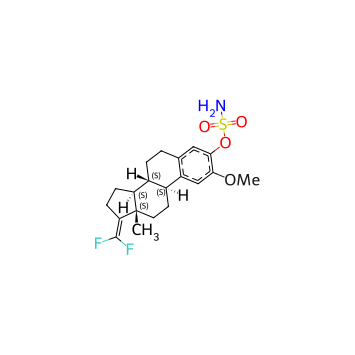 COc1cc2c(cc1OS(N)(=O)=O)CC[C@@H]1[C@@H]2CC[C@]2(C)C(=C(F)F)CC[C@@H]12